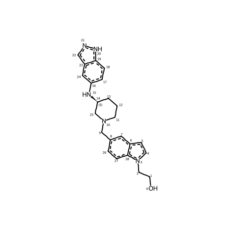 OCCn1ccc2cc(CN3CCC[C@H](Nc4ccc5[nH]ncc5c4)C3)ccc21